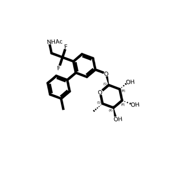 CC(=O)NCC(F)(F)c1ccc(O[C@@H]2O[C@@H](C)[C@H](O)[C@@H](O)[C@H]2O)cc1-c1cccc(C)c1